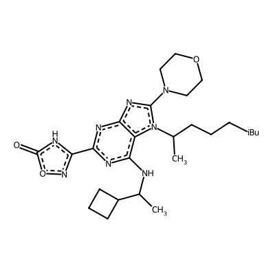 CCC(C)CCCC(C)n1c(N2CCOCC2)nc2nc(-c3noc(=O)[nH]3)nc(NC(C)C3CCC3)c21